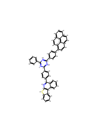 c1ccc(-c2nc(-c3ccc(-c4nc5sc6ccccc6c5c5ccccc45)cc3)nc(-c3ccc(-c4ccc5ccc6cccc7ccc4c5c67)cc3)n2)cc1